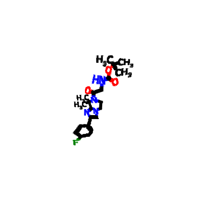 CC(C)(C)OC(=O)NCC(=O)N1CCn2cc(-c3ccc(F)cc3)nc2C1(C)C